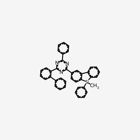 C[Si]1(c2ccccc2)c2ccccc2-c2cc(-c3nc(-c4ccccc4)nc(-c4ccccc4-c4ccccc4)n3)ccc21